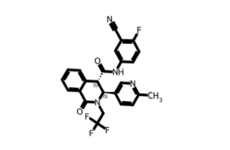 Cc1ccc([C@@H]2[C@@H](C(=O)Nc3ccc(F)c(C#N)c3)c3ccccc3C(=O)N2CC(F)(F)F)cn1